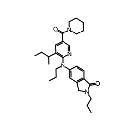 CCCN1Cc2cc(N(CCC)c3ncc(C(=O)N4CCCCC4)cc3C(C)CC)ccc2C1=O